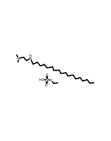 CCCCCCCCCCCCCCCCCCNCCN(C)C.CCOS(=O)(=O)O